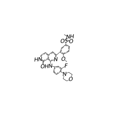 CNS(=O)(=O)c1ccc(OC)c(-c2cc3cc[nH]c(=O)c3c(Nc3ccc(N4CCOCC4)c(F)c3)n2)c1